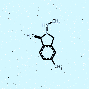 C=C1c2ccc(C)cc2CN1NC